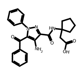 Nc1c(C(=O)NC2(CC(=O)O)CCCC2)nn(-c2ccccc2)c1C(=O)c1ccccc1